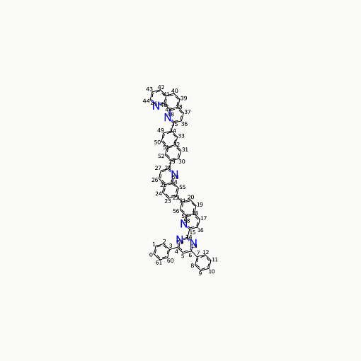 c1ccc(-c2cc(-c3ccccc3)nc(-c3ccc4ccc(-c5ccc6ccc(-c7ccc8cc(-c9ccc%10ccc%11cccnc%11c%10n9)ccc8c7)nc6c5)cc4n3)n2)cc1